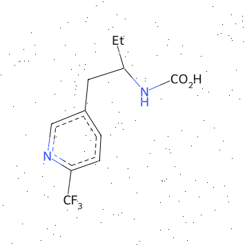 CCC(Cc1ccc(C(F)(F)F)nc1)NC(=O)O